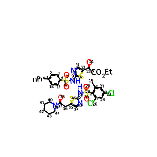 CCCc1ccc(S(=O)(=O)Nc2ncc(C(=O)C(=O)OCC)s2)cc1.Cc1cc(Cl)cc(Cl)c1S(=O)(=O)Nc1ncc(CC(=O)N2CCCCC2)s1